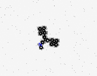 CN(c1ccccc1)c1ccc(C2c3ccc(-c4ccc5c(c4)C4(c6ccccc6-c6ccccc64)c4ccccc4-5)cc3-c3cc(-c4ccc5c(c4)C4(c6ccccc6-c6ccccc64)c4ccccc4-5)ccc32)cc1